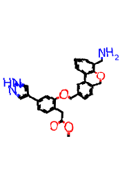 COC(=O)Cc1ccc(-c2cn[nH]c2)cc1OCc1ccc2c(c1)-c1cccc(CN)c1OC2